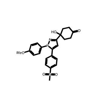 COc1ccc(-n2nc(C3(O)CCC(=O)CC3)cc2-c2ccc(S(C)(=O)=O)cc2)cc1